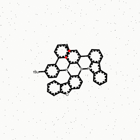 Cc1cc2c3c(c1)N(c1ccc(C(C)(C)C)cc1-c1ccccc1)c1c(ccc4oc5ccccc5c14)B3n1c3ccccc3c3cccc-2c31